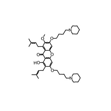 COc1c(OCCCCN2CCCCC2)cc2oc3cc(OCCCCN4CCCCC4)c(CC=C(C)C)c(O)c3c(=O)c2c1CC=C(C)C